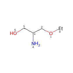 CCOCC(N)CO